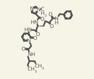 CCC(CC)CNC(=O)Cn1cccc(NC(=O)[C@H](CCC(=O)C(=O)NCc2ccccc2)NC(=O)c2cncn2C)c1=O